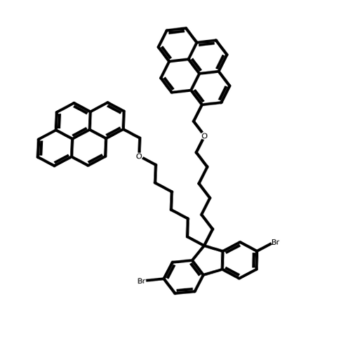 Brc1ccc2c(c1)C(CCCCCCOCc1ccc3ccc4cccc5ccc1c3c45)(CCCCCCOCc1ccc3ccc4cccc5ccc1c3c45)c1cc(Br)ccc1-2